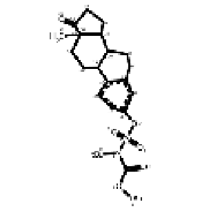 CC(C)(C)OC(=O)N(C(C)(C)C)S(=O)(=O)Oc1ccc2c(c1)CCC1C2CC[C@]2(C)C(=O)CCC12